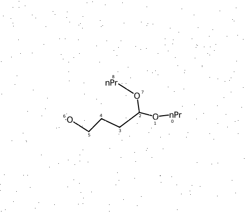 CCCOC(CCC[O])OCCC